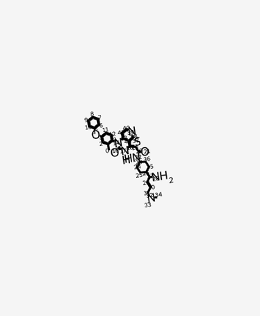 Cc1cc(Oc2ccccc2)ccc1N1C(=O)Nc2c(C(=O)NC3CCC(C(N)/C=C/CN(C)C)CC3)sc3nccc1c23